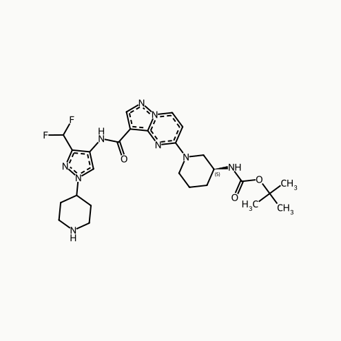 CC(C)(C)OC(=O)N[C@H]1CCCN(c2ccn3ncc(C(=O)Nc4cn(C5CCNCC5)nc4C(F)F)c3n2)C1